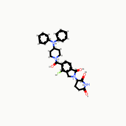 O=C1CCC(N2Cc3c(ccc(C(=O)N4CCC(N(c5ccccc5)c5ccccc5)CC4)c3F)C2=O)C(=O)N1